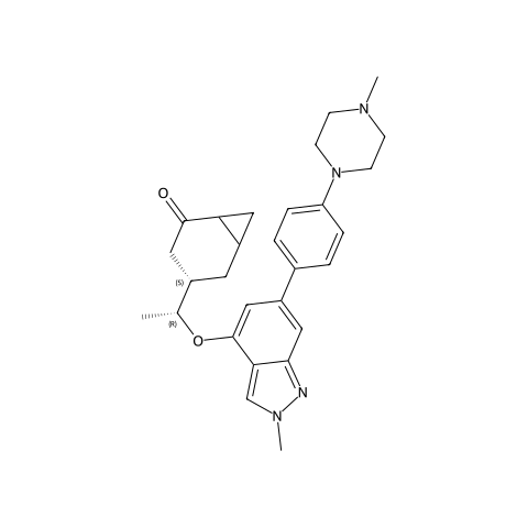 C[C@@H](Oc1cc(-c2ccc(N3CCN(C)CC3)cc2)cc2nn(C)cc12)[C@@H]1CC(=O)C2CC2C1